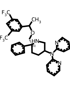 CC(OC[C@@]1(c2ccccc2)CCC(N(c2ccccn2)c2ccccn2)CN1)c1cc(C(F)(F)F)cc(C(F)(F)F)c1